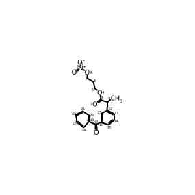 CC(C(=O)OCCCO[N+](=O)[O-])c1cccc(C(=O)c2ccccc2)c1